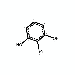 CC(C)c1c(O)cccc1O